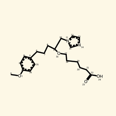 COc1ccc(CCCC(Cn2ccnc2)OCCCCCC(=O)O)cc1